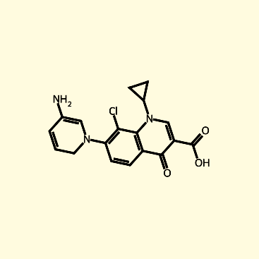 NC1=CN(c2ccc3c(=O)c(C(=O)O)cn(C4CC4)c3c2Cl)CC=C1